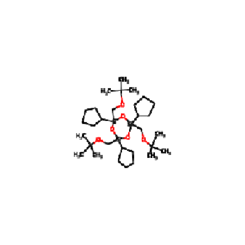 CC(C)(C)OC[Si]1(C2CCCC2)O[Si](COC(C)(C)C)(C2CCCC2)O[Si](COC(C)(C)C)(C2CCCC2)O1